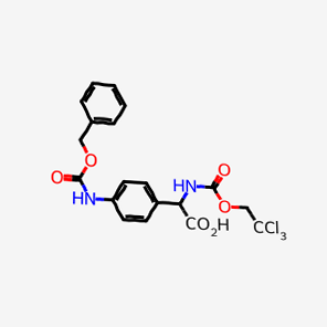 O=C(Nc1ccc(C(NC(=O)OCC(Cl)(Cl)Cl)C(=O)O)cc1)OCc1ccccc1